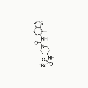 Cc1c(NC(=O)N2CCC(NS(=O)(=O)C(C)(C)C)CC2)ccc2ccsc12